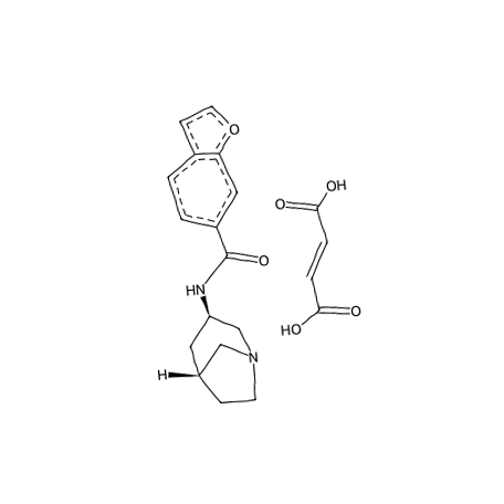 O=C(N[C@@H]1C[C@H]2CCN(C2)C1)c1ccc2ccoc2c1.O=C(O)/C=C/C(=O)O